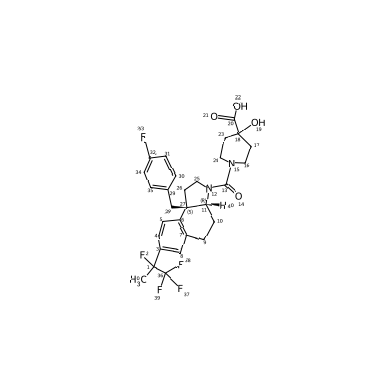 CC(F)(c1ccc2c(c1)CC[C@H]1N(C(=O)N3CCC(O)(C(=O)O)CC3)CC[C@@]21Cc1ccc(F)cc1)C(F)(F)F